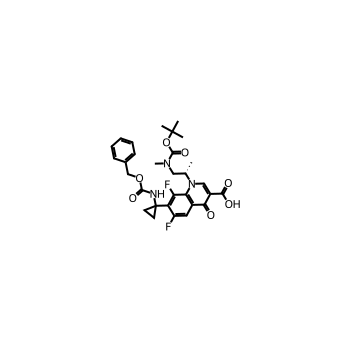 C[C@@H](CN(C)C(=O)OC(C)(C)C)n1cc(C(=O)O)c(=O)c2cc(F)c(C3(NC(=O)OCc4ccccc4)CC3)c(F)c21